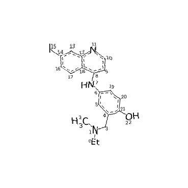 CCN(C)Cc1cc(Nc2ccnc3cc(I)ccc23)ccc1O